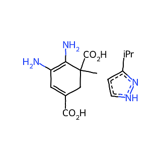 CC(C)c1cc[nH]n1.CC1(C(=O)O)CC(C(=O)O)=CC(N)=C1N